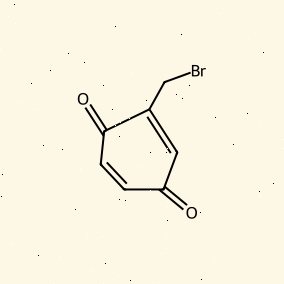 O=C1C=CC(=O)C(CBr)=C1